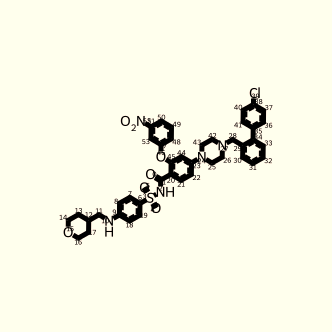 O=C(NS(=O)(=O)c1ccc(NCC2CCOCC2)cc1)c1ccc(N2CCN(Cc3ccccc3-c3ccc(Cl)cc3)CC2)cc1Oc1cccc([N+](=O)[O-])c1